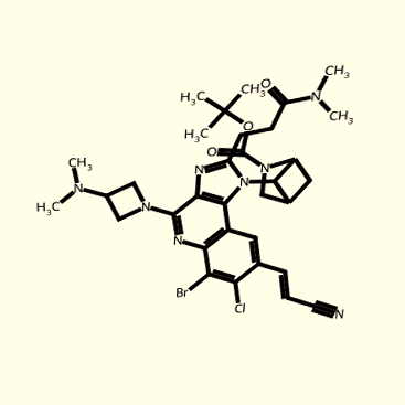 CN(C)C(=O)CCc1nc2c(N3CC(N(C)C)C3)nc3c(Br)c(Cl)c(C=CC#N)cc3c2n1C1C2CC1N(C(=O)OC(C)(C)C)C2